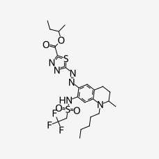 CCCCCN1c2cc(NS(=O)(=O)CC(F)(F)F)c(N=Nc3nnc(C(=O)OC(C)CC)s3)cc2CCC1C